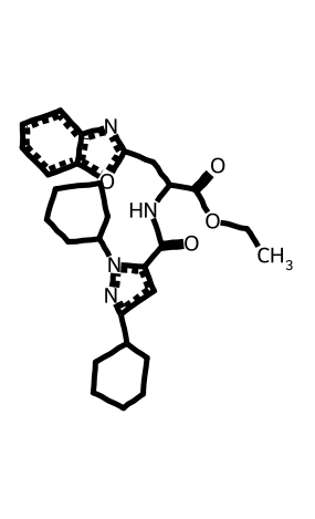 CCOC(=O)C(Cc1nc2ccccc2o1)NC(=O)c1cc(C2CCCCC2)nn1C1CCCCC1